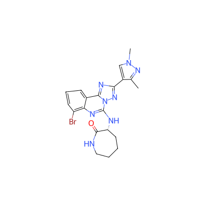 Cc1nn(C)cc1-c1nc2c3cccc(Br)c3nc(N[C@@H]3CCCCNC3=O)n2n1